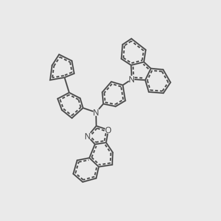 c1ccc(-c2cccc(N(c3ccc(-n4c5ccccc5c5ccccc54)cc3)c3nc4c(ccc5ccccc54)o3)c2)cc1